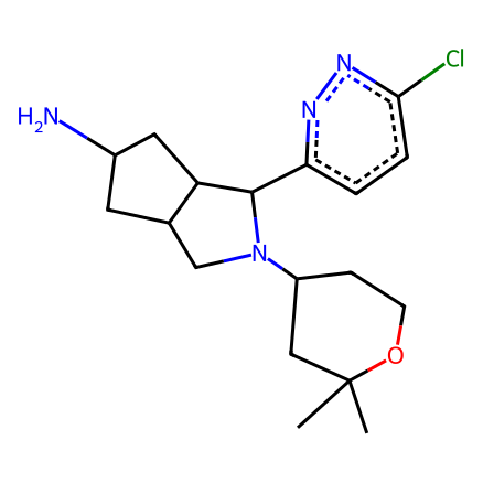 CC1(C)CC(N2CC3CC(N)CC3C2c2ccc(Cl)nn2)CCO1